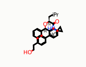 CC(C)C[C@H](O[C@H](c1ccccc1)c1ccccc1-c1ccc(CCO)cc1)C(=O)NC1(C#N)CC1